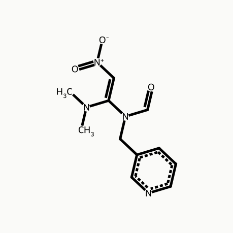 CN(C)C(=C[N+](=O)[O-])N(C=O)Cc1cccnc1